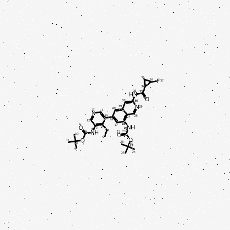 CCc1c(NC(=O)OC(C)(C)C)cncc1-c1cc(NC(=O)OC(C)(C)C)c2cnc(NC(=O)C3CC3F)cc2c1